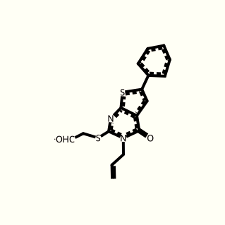 C=CCn1c(SC[C]=O)nc2sc(-c3ccccc3)cc2c1=O